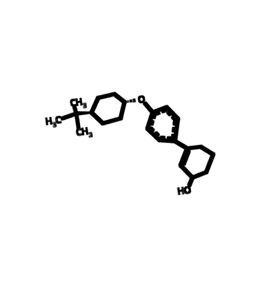 CC(C)(C)[C@H]1CC[C@H](Oc2ccc(C3=CC(O)CCC3)cc2)CC1